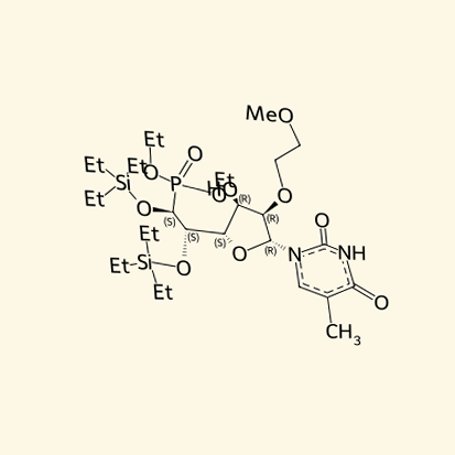 CCOP(=O)(OCC)[C@H](O[Si](CC)(CC)CC)[C@@H](O[Si](CC)(CC)CC)[C@H]1O[C@@H](n2cc(C)c(=O)[nH]c2=O)[C@H](OCCOC)[C@@H]1O